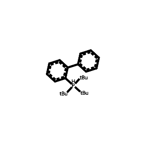 CC(C)(C)[PH](c1ccccc1-c1ccccc1)(C(C)(C)C)C(C)(C)C